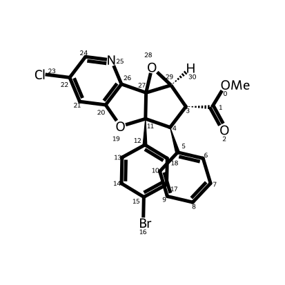 COC(=O)[C@@H]1[C@@H](c2ccccc2)[C@]2(c3ccc(Br)cc3)Oc3cc(Cl)cnc3C23O[C@@H]13